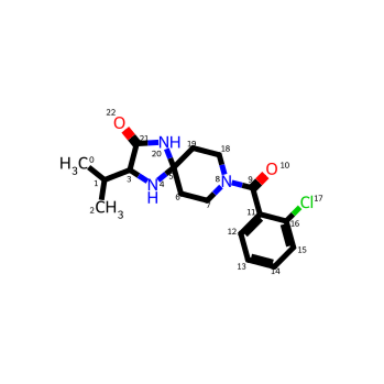 CC(C)C1NC2(CCN(C(=O)c3ccccc3Cl)CC2)NC1=O